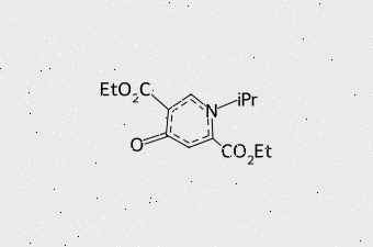 CCOC(=O)c1cn(C(C)C)c(C(=O)OCC)cc1=O